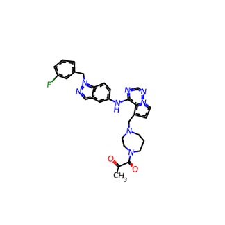 CC(=O)C(=O)N1CCCN(Cc2ccn3ncnc(Nc4ccc5c(cnn5Cc5cccc(F)c5)c4)c23)CC1